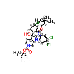 CC(C)(C)OC(=O)N1CCC(C(O)(c2ccc(Br)cc2)c2nc3cc(Cl)c(Cl)cc3n2COCC[Si](C)(C)C)CC1